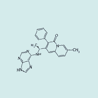 Cc1ccc2cc([C@H](C)Nc3ncnc4[nH]cnc34)c(-c3ccccc3)c(=O)n2c1